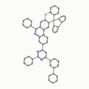 c1ccc(-c2cccc(-c3cc(-c4ccc5c(c4)nc(-c4ccccc4)c4cc6c(cc45)C4(c5ccccc5S6)c5ccccc5-c5ccccc54)nc(-c4ccccc4)n3)c2)cc1